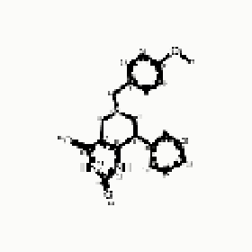 COc1ccc(CN2Cc3c([nH]c(=O)[nH]c3=O)C(c3ccccc3)C2)cc1